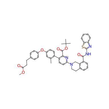 COC(=O)CCc1ccc(Oc2ccc(-c3ccc(N4CCc5cccc(C(=O)Nc6nc7ccccc7s6)c5C4)nc3C(=O)OC(C)(C)C)c(C)c2)cc1